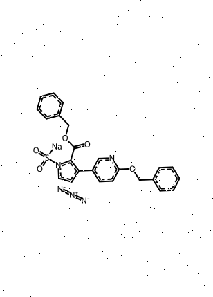 O=C(OCc1ccccc1)c1c(-c2ccc(OCc3ccccc3)nc2)ccn1[S](=O)(=O)[Na].[N-]=[N+]=[N-]